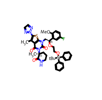 COc1ccc(F)cc1[C@H](Cn1c(=O)n([C@@]2(C)CCCNC2=O)c(=O)c2c(C)c(-n3nccn3)sc21)OCCO[Si](c1ccccc1)(c1ccccc1)C(C)(C)C